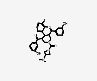 Cc1c(F)cccc1C1C(C(=O)c2cccc(O)c2)CN(C(=O)N2CC(N(C)C)C2)CC1C(=O)c1cccc(O)c1